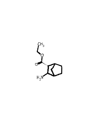 CCOC(=O)[C@@H]1C2CCC(C2)C1N